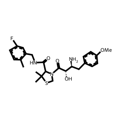 COc1ccc(C[C@H](N)[C@H](O)C(=O)N2CSC(C)(C)C2C(=O)NCc2cc(F)ccc2C)cc1